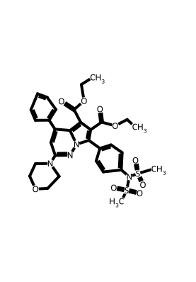 CCOC(=O)c1c(C(=O)OCC)c2c(-c3ccccc3)cc(N3CCOCC3)nn2c1-c1ccc(N(S(C)(=O)=O)S(C)(=O)=O)cc1